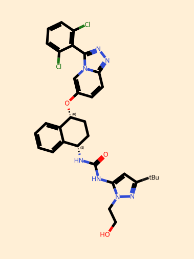 CC(C)(C)c1cc(NC(=O)N[C@H]2CC[C@@H](Oc3ccc4nnc(-c5c(Cl)cccc5Cl)n4c3)c3ccccc32)n(CCO)n1